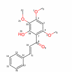 COc1cc(OC)c(C(=O)/C=C/c2ccccc2)c(O)c1OC